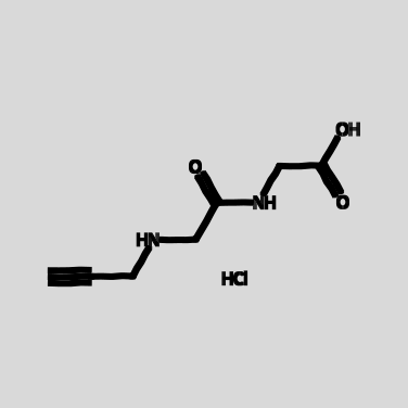 C#CCNCC(=O)NCC(=O)O.Cl